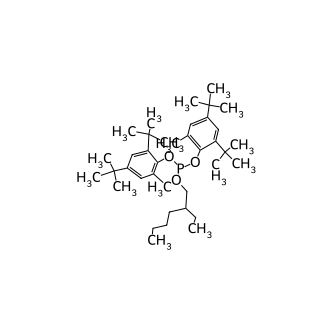 CCCCC(CC)COP(Oc1c(C)cc(C(C)(C)C)cc1C(C)(C)C)Oc1c(C)cc(C(C)(C)C)cc1C(C)(C)C